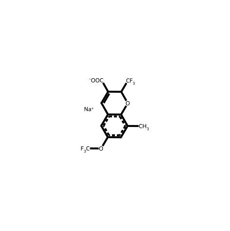 Cc1cc(OC(F)(F)F)cc2c1OC(C(F)(F)F)C(C(=O)[O-])=C2.[Na+]